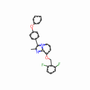 Cc1nc2c(OCc3c(F)cccc3F)cccn2c1-c1ccc(Oc2ccccc2)cc1